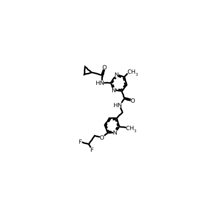 Cc1cc(C(=O)NCc2ccc(OCC(F)F)nc2C)nc(NC(=O)C2CC2)n1